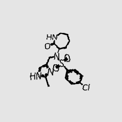 Cc1nc(CN([C@@H]2CCCCNC2=O)S(=O)(=O)c2ccc(Cl)cc2)c[nH]1